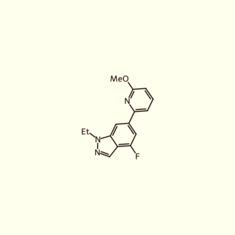 CCn1ncc2c(F)cc(-c3cccc(OC)n3)cc21